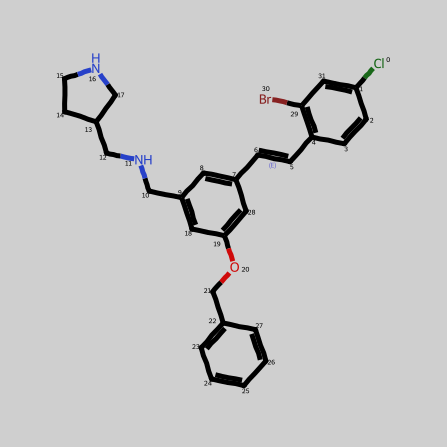 Clc1ccc(/C=C/c2cc(CNCC3CCNC3)cc(OCc3ccccc3)c2)c(Br)c1